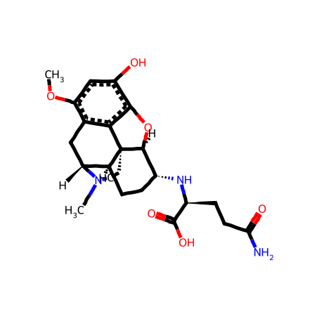 COc1cc(O)c2c3c1C[C@@H]1[C@@H]4CC[C@@H](N[C@@H](CCC(N)=O)C(=O)O)[C@H](O2)[C@]34CCN1C